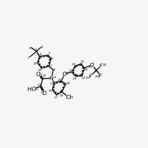 CC(C)(C)c1ccc(CN(C(=O)C(=O)O)c2ccc(Cl)cc2Oc2ccc(OC(F)(F)F)cc2)cc1